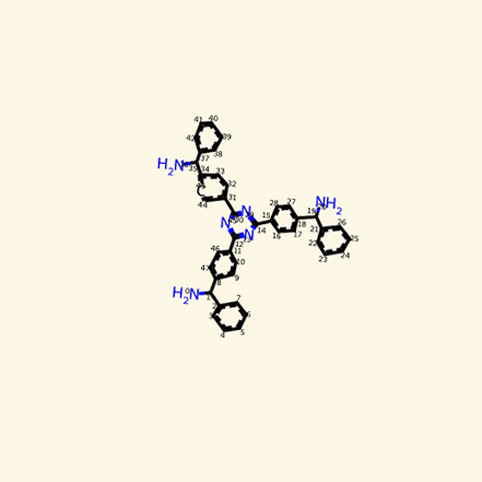 NC(c1ccccc1)c1ccc(-c2nc(-c3ccc(C(N)c4ccccc4)cc3)nc(-c3ccc(C(N)c4ccccc4)cc3)n2)cc1